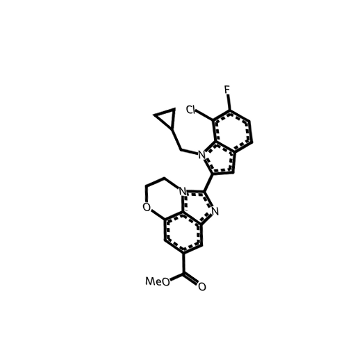 COC(=O)c1cc2c3c(c1)nc(-c1cc4ccc(F)c(Cl)c4n1CC1CC1)n3CCO2